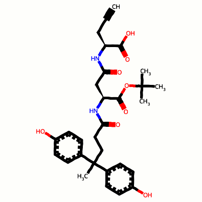 C#CC[C@H](NC(=O)C[C@H](NC(=O)CCC(C)(c1ccc(O)cc1)c1ccc(O)cc1)C(=O)OC(C)(C)C)C(=O)O